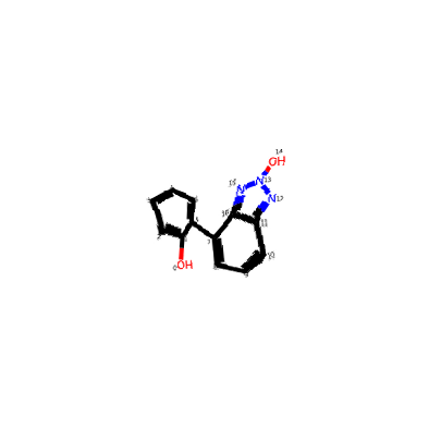 Oc1ccccc1-c1cccc2nn(O)nc12